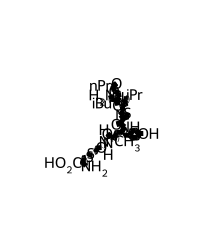 CCCC(=O)OCN(C(=O)[C@@H](N)C(C)CC)[C@H](CCc1nc(C(=O)N[C@@H](Cc2ccc(O)cc2)C[C@H](C)C(=O)NNOCCSSC[C@H](N)C(=O)O)cs1)C(C)C